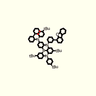 CC(C)(C)c1ccc(N(c2ccc3c(c2)N(c2cccc(-c4cccc5c4oc4ccccc45)c2)c2cc(C(C)(C)C)cc4c2B3c2cc(C(C)(C)C)ccc2N4c2ccc(C(C)(C)C)cc2)c2ccccc2-c2ccccc2)cc1